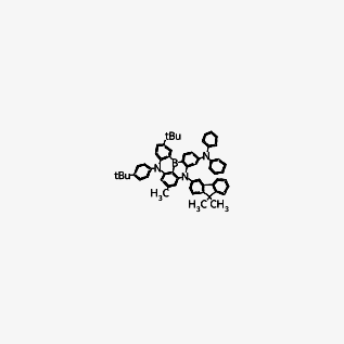 Cc1cc2c3c(c1)N(c1ccc4c(c1)-c1ccccc1C4(C)C)c1cc(N(c4ccccc4)c4ccccc4)ccc1B3c1cc(C(C)(C)C)ccc1N2c1ccc(C(C)(C)C)cc1